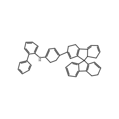 C1=CCC2C(=C1)C1=C(C=C(C3=CC=C(Nc4ccccc4-c4ccccc4)CC3)CC1)C21C2=C(CCC=C2)c2ccccc21